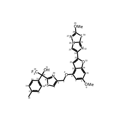 COc1cc(OCc2csc(C(O)(c3ccc(C)cc3)C(F)(F)F)n2)c2cc(-c3cn4nc(OC)sc4n3)oc2c1